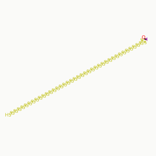 O=C(I)S(=S)(=S)SSSSSSSSSSSSSSSSSSSSSSSSSSSSSSSSSSSSSSSSSSSSSSSSSSSSSSSSSSSSSSSSSSSSSSSSSSSSS